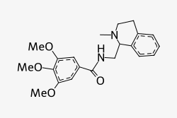 COc1cc(C(=O)NCC2c3ccccc3CCN2C)cc(OC)c1OC